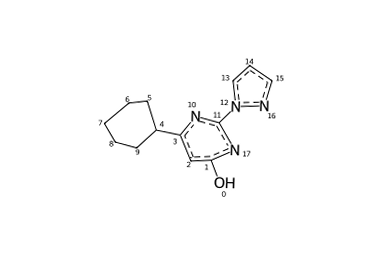 Oc1[c]c(C2CCCCC2)nc(-n2cccn2)n1